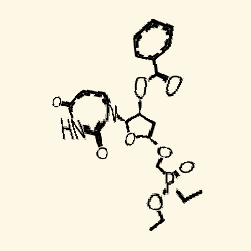 CCOP(=O)(CC)CO[C@@H]1C[C@H](OC(=O)c2ccccc2)[C@H](n2ccc(=O)[nH]c2=O)O1